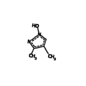 Cc1cn(O)nc1C